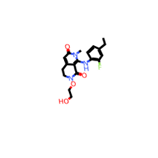 CCc1ccc(Nc2c3c(cc(=O)n2C)CCN(OCCO)C3=O)c(F)c1